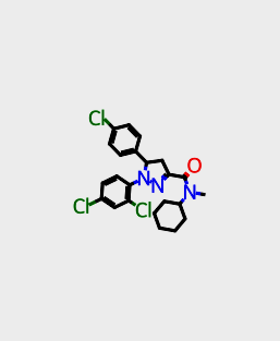 CN(C(=O)C1=NN(c2ccc(Cl)cc2Cl)C(c2ccc(Cl)cc2)C1)C1CCCCC1